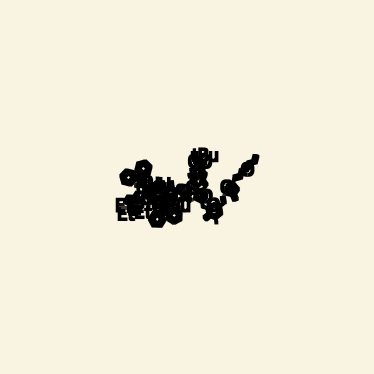 C=CCOC/C=C/[C@H]1CC(=C)[C@H](CC[C@H]2C[C@@H](C)C(=C)[C@@H](C[C@@H]3O[C@H](CC4CN(C(=O)OC(C)(C)C)C(C)(C)O4)[C@H](OC)[C@H]3CC(=O)C[C@H]3CC[C@@H]4O[C@@H]5[C@@H](O[C@H](CC(C=C)O[Si](CC)(CC)CC)[C@@H]5O[Si](c5ccccc5)(c5ccccc5)C(C)(C)C)[C@@H](O[Si](c5ccccc5)(c5ccccc5)C(C)(C)C)[C@H]4O3)O2)O1